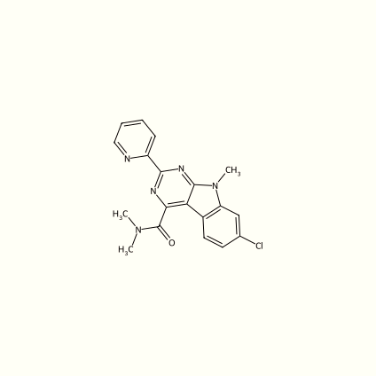 CN(C)C(=O)c1nc(-c2ccccn2)nc2c1c1ccc(Cl)cc1n2C